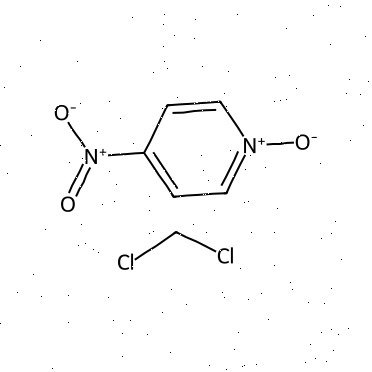 ClCCl.O=[N+]([O-])c1cc[n+]([O-])cc1